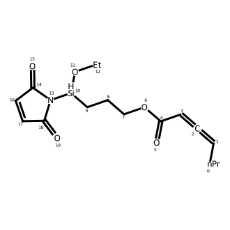 CCCC=C=CC(=O)OCCC[SiH](OCC)N1C(=O)C=CC1=O